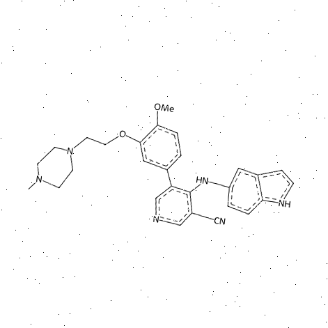 COc1ccc(-c2cncc(C#N)c2Nc2ccc3[nH]ccc3c2)cc1OCCN1CCN(C)CC1